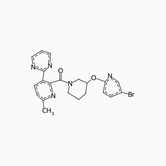 Cc1ccc(-c2ncccn2)c(C(=O)N2CCCC(Oc3ccc(Br)cn3)C2)n1